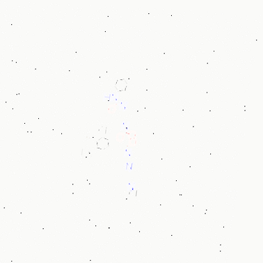 Cc1cc(C[C@@H](OC(=O)N2CCC(N3CCc4ccccc4NC3=O)CC2)C(=O)N2CCN(C3CCN(C)CC3)CC2)cc(C)c1Br